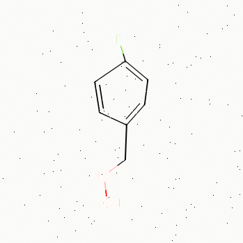 OBCc1ccc(F)cc1